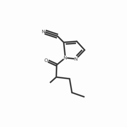 CCCC(C)C(=O)n1nccc1C#N